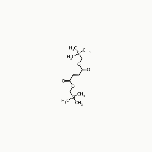 C[Si](C)(C)COC(=O)/C=C/C(=O)OC[Si](C)(C)C